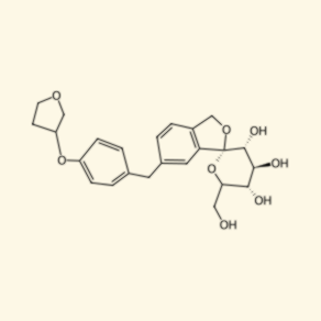 OCC1O[C@]2(OCc3ccc(Cc4ccc(OC5CCOC5)cc4)cc32)[C@H](O)[C@@H](O)[C@@H]1O